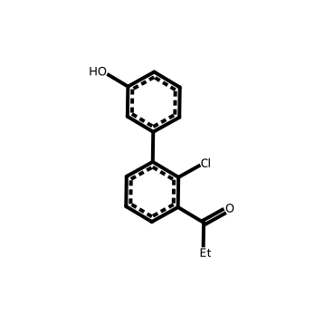 CCC(=O)c1cccc(-c2cccc(O)c2)c1Cl